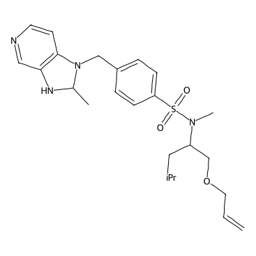 C=CCOCC(CC(C)C)N(C)S(=O)(=O)c1ccc(CN2c3ccncc3NC2C)cc1